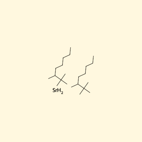 CCCCCC(C)C(C)(C)C.CCCCCC(C)C(C)(C)C.[SrH2]